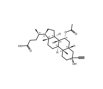 C#C[C@]1(O)CC[C@@]2(C)[C@H](C[C@@H](OC(C)=O)[C@@H]3[C@@H]2CC[C@]2(C)[C@@H]([C@H](C)CCC(=O)O)CC[C@@H]32)C1